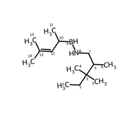 CCC(C)(C)C(C)CNBC(C)C=C(C)C